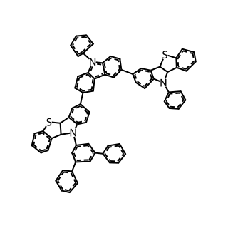 c1ccc(-c2cc(-c3ccccc3)cc(N3c4ccc(-c5ccc6c(c5)c5cc(-c7ccc8c(c7)C7Sc9ccccc9C7N8c7ccccc7)ccc5n6-c5ccccc5)cc4C4Sc5ccccc5C43)c2)cc1